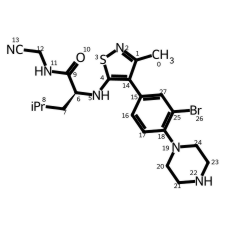 Cc1nsc(N[C@@H](CC(C)C)C(=O)NCC#N)c1-c1ccc(N2CCNCC2)c(Br)c1